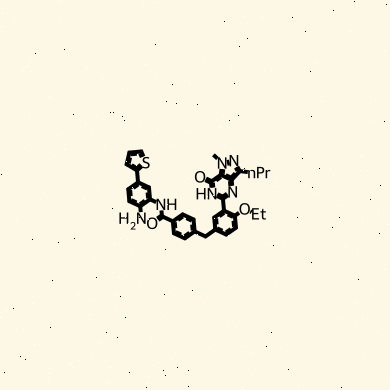 CCCc1nn(C)c2c(=O)[nH]c(-c3cc(Cc4ccc(C(=O)Nc5cc(-c6cccs6)ccc5N)cc4)ccc3OCC)nc12